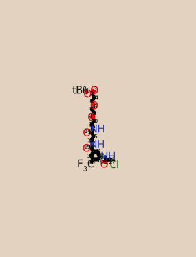 CC(C)(C)OC(=O)CCOCCOCCNC(=O)CCNC(=O)c1cc(NC(=O)CCl)cc(C(F)(F)F)c1